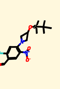 CC(C)(C)[Si](C)(C)OC1CN(c2cc(F)c(C=O)cc2[N+](=O)[O-])C1